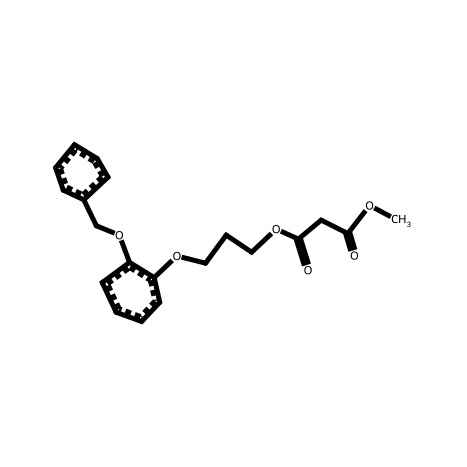 COC(=O)CC(=O)OCCCOc1ccccc1OCc1ccccc1